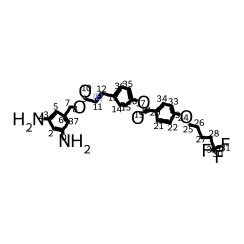 Nc1cc(N)cc(COC(=O)/C=C/c2ccc(OC(=O)c3ccc(OCCCCC(F)(F)F)cc3)cc2)c1